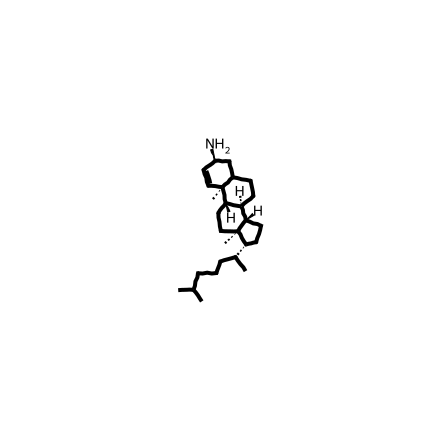 CC(C)CCCC(C)[C@H]1CC[C@H]2[C@@H]3CCC4C[C@H](N)C=C[C@]4(C)[C@H]3CC[C@]12C